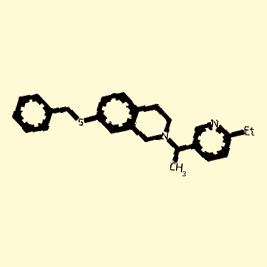 CCc1ccc(C(C)N2CCc3ccc(SCc4ccccc4)cc3C2)cn1